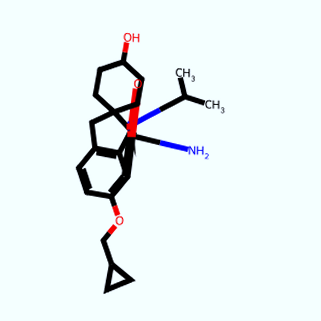 CC(C)N1C(=O)C2(N=C1N)c1cc(OCC3CC3)ccc1CC21CCC(O)CC1